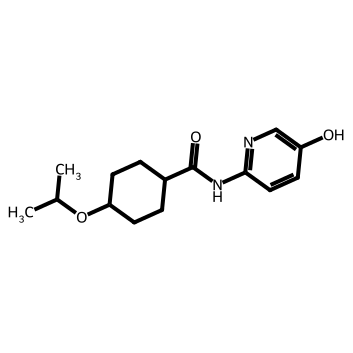 CC(C)OC1CCC(C(=O)Nc2ccc(O)cn2)CC1